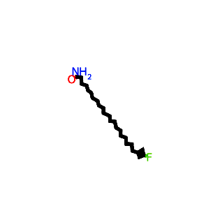 NC(=O)CCCCCCCCCCCCCCCCCCCCC12CC(F)(C1)C2